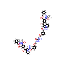 Cc1c(C(=O)c2ccc(NC(=O)C(F)(F)F)c(C(=O)OCc3ccccc3)c2)c2ccccn2c1NC(=O)c1cccc(OCCNC(=O)NCCOc2cccc(C(=O)Nc3c(C)c(C(=O)c4ccc(NC(=O)C(F)(F)F)c(C(=O)OCc5ccccc5)c4)c4ccccn34)c2)c1